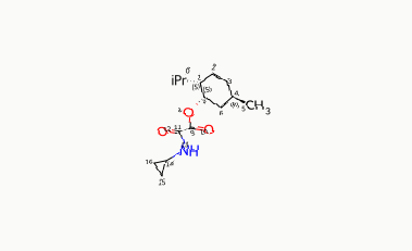 CC(C)[C@@H]1CC[C@@H](C)C[C@@H]1OC(=O)C(=O)NC1CC1